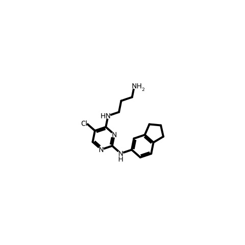 NCCCNc1nc(Nc2ccc3c(c2)CCC3)ncc1Cl